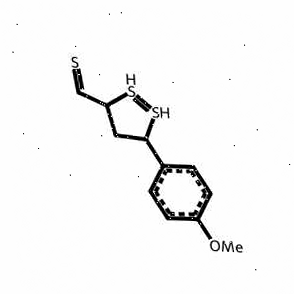 COc1ccc(C2CC(C=S)[SH]=[SH]2)cc1